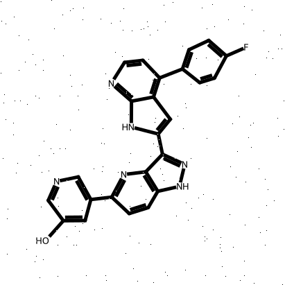 Oc1cncc(-c2ccc3[nH]nc(-c4cc5c(-c6ccc(F)cc6)ccnc5[nH]4)c3n2)c1